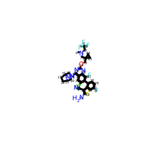 CN(CC(F)(F)F)CC1(COc2nc(N3CC4CCC(C3)N4)c3cc(Cl)c(-c4ccc(F)c5sc(N)c(C#N)c45)c(F)c3n2)CC1